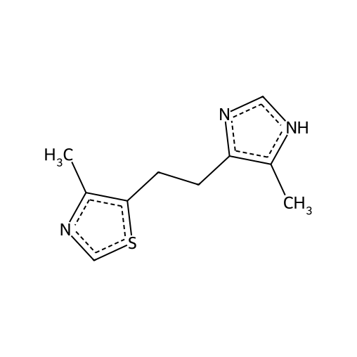 Cc1ncsc1CCc1nc[nH]c1C